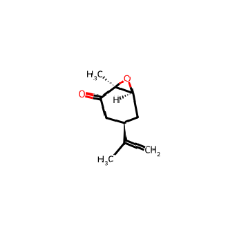 C=C(C)[C@H]1CC(=O)[C@@]2(C)O[C@H]2C1